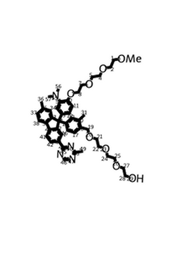 COCCOCCOCCOc1ccc(C2(c3ccc(COCCOCCOCCO)c(C)c3)c3cc(C)ccc3-c3ccc(-c4ncnc(C)n4)cc32)cc1N(C)C